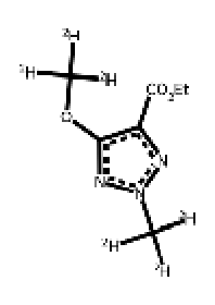 [2H]C([2H])([2H])Oc1nn(C([2H])([2H])[2H])nc1C(=O)OCC